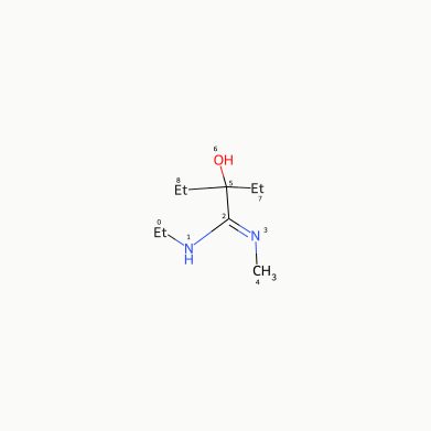 CCN/C(=N\C)C(O)(CC)CC